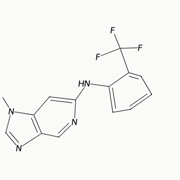 Cn1cnc2cnc(Nc3ccccc3C(F)(F)F)cc21